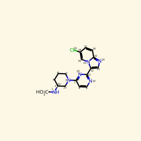 O=C(O)N[C@H]1CCCN(c2ccnc(-c3cnc4ccc(Cl)cn34)n2)C1